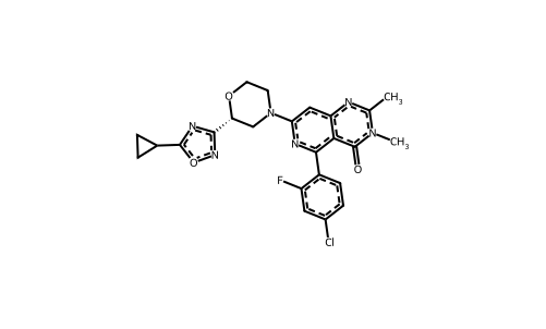 Cc1nc2cc(N3CCO[C@@H](c4noc(C5CC5)n4)C3)nc(-c3ccc(Cl)cc3F)c2c(=O)n1C